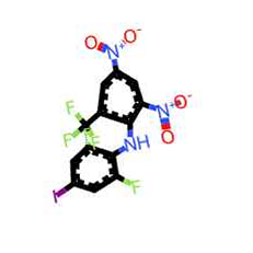 O=[N+]([O-])c1cc([N+](=O)[O-])c(Nc2c(F)cc(I)cc2F)c(C(F)(F)F)c1